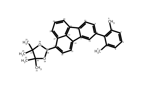 Cc1cccc(C)c1-c1ccc2c(c1)-c1ccc(B3OC(C)(C)C(C)(C)O3)c3cccc-2c13